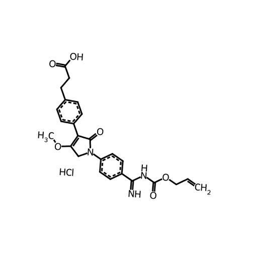 C=CCOC(=O)NC(=N)c1ccc(N2CC(OC)=C(c3ccc(CCC(=O)O)cc3)C2=O)cc1.Cl